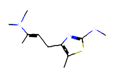 CNc1nc(C/C=C(\C)N(C)C)c(C)s1